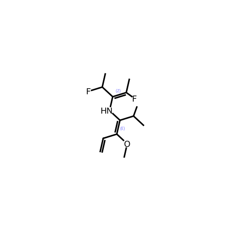 C=C/C(OC)=C(\N/C(=C(/C)F)C(C)F)C(C)C